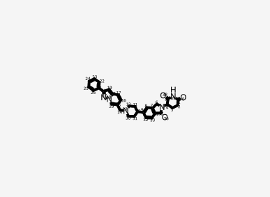 O=C1CCC(N2Cc3cc(C4CCN(Cc5ccc6cc(-c7ccccc7)nn6c5)CC4)ccc3C2=O)C(=O)N1